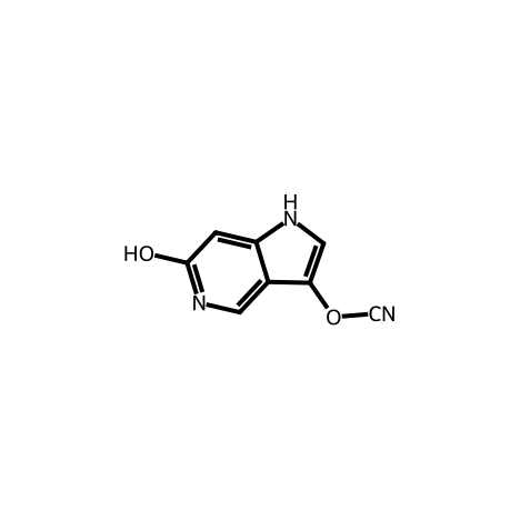 N#COc1c[nH]c2cc(O)ncc12